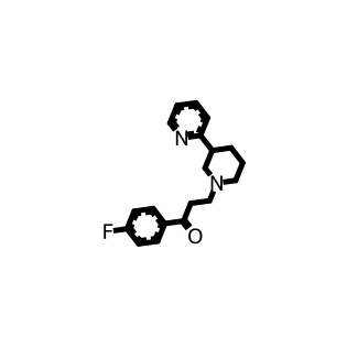 O=C(CCN1CCCC(c2ccccn2)C1)c1ccc(F)cc1